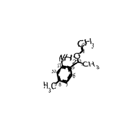 CCOC(C)c1ccc(C)cc1N